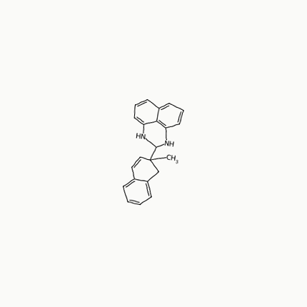 CC1(C2Nc3cccc4cccc(c34)N2)C=Cc2ccccc2C1